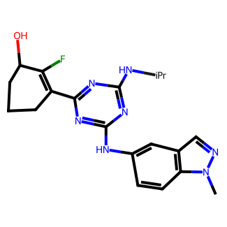 CC(C)Nc1nc(Nc2ccc3c(cnn3C)c2)nc(C2=C(F)C(O)CCC2)n1